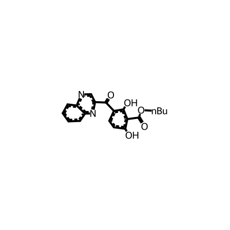 CCCCOC(=O)c1c(O)ccc(C(=O)c2cnc3ccccc3n2)c1O